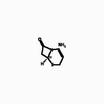 N.O=C1C[C@@H]2SCC=CN12